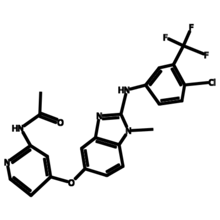 CC(=O)Nc1cc(Oc2ccc3c(c2)nc(Nc2ccc(Cl)c(C(F)(F)F)c2)n3C)ccn1